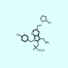 CC(=O)N1CCC[C@H]1COc1cnc2c(c1)c(SC(C)(C)C)c(CC(C)(C)C(=O)O)n2Cc1ccc(Cl)cc1